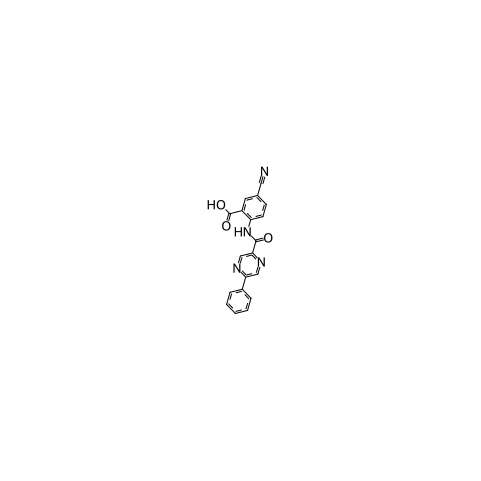 N#Cc1ccc(NC(=O)c2cnc(-c3ccccc3)cn2)c(C(=O)O)c1